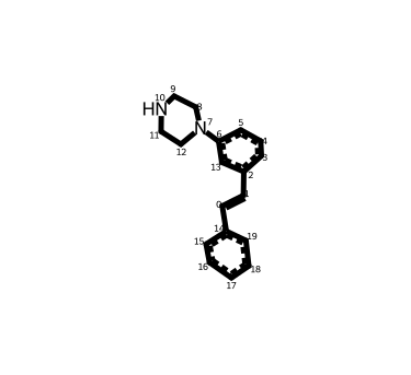 C(=C\c1cccc(N2CCNCC2)c1)/c1ccccc1